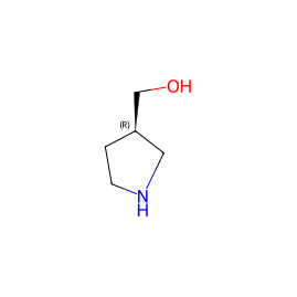 OC[C@@H]1CCNC1